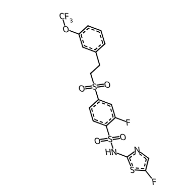 O=S(=O)(CCc1cccc(OC(F)(F)F)c1)c1ccc(S(=O)(=O)Nc2ncc(F)s2)c(F)c1